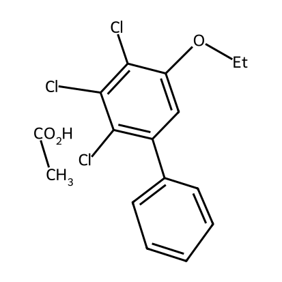 CC(=O)O.CCOc1cc(-c2ccccc2)c(Cl)c(Cl)c1Cl